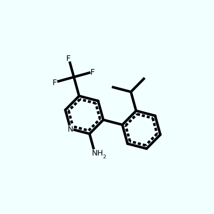 CC(C)c1ccccc1-c1cc(C(F)(F)F)cnc1N